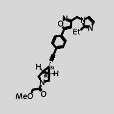 CCc1nccn1Cc1cc(-c2ccc(C#C[C@@H]3[C@H]4CN(C(=O)COC)C[C@@H]34)cc2)on1